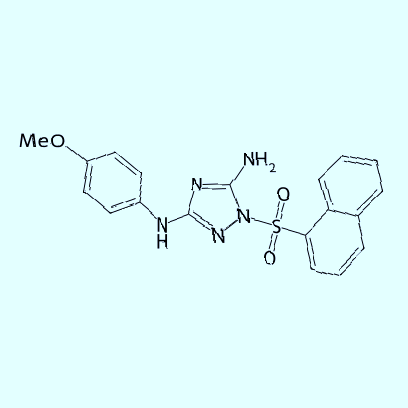 COc1ccc(Nc2nc(N)n(S(=O)(=O)c3cccc4ccccc34)n2)cc1